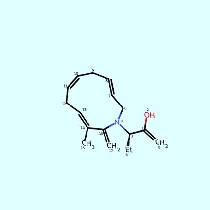 C=C(O)[C@@H](CC)N1C/C=C/C/C=C\C/C=C(\C)C1=C